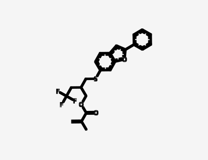 C=C(C)C(=O)OCC(CSc1ccc2cc(-c3ccccc3)oc2c1)CC(F)(F)F